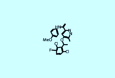 C=C(Nc1ccc(OC)cc1)c1cc(OC(C)c2c(Cl)ccc(F)c2Cl)c(C)nn1